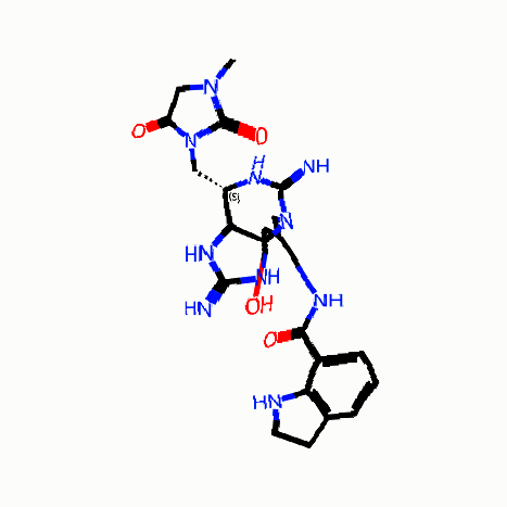 CN1CC(=O)N(C[C@@H]2NC(=N)N3CC(NC(=O)c4cccc5c4NCC5)C(O)C34NC(=N)NC24)C1=O